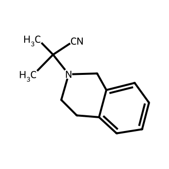 CC(C)(C#N)N1CCc2ccccc2C1